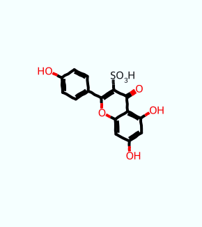 O=c1c(S(=O)(=O)O)c(-c2ccc(O)cc2)oc2cc(O)cc(O)c12